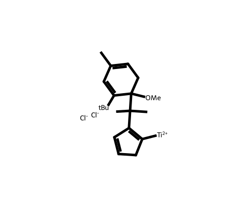 COC1(C(C)(C)C2=[C]([Ti+2])CC=C2)CC=C(C)C=C1C(C)(C)C.[Cl-].[Cl-]